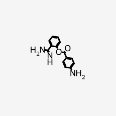 N=C(N)c1ccccc1OC(=O)c1ccc(N)cc1